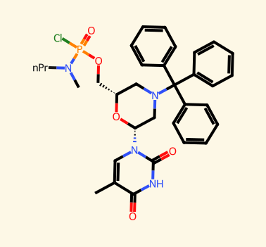 CCCN(C)P(=O)(Cl)OC[C@@H]1CN(C(c2ccccc2)(c2ccccc2)c2ccccc2)C[C@H](n2cc(C)c(=O)[nH]c2=O)O1